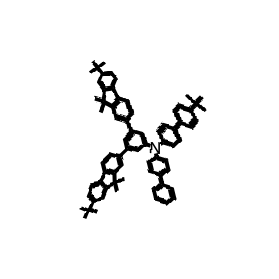 CC(C)(C)c1ccc(-c2ccc(N(c3ccc(-c4ccccc4)cc3)c3cc(-c4ccc5c(c4)C(C)(C)c4cc(C(C)(C)C)ccc4-5)cc(-c4ccc5c(c4)C(C)(C)c4cc(C(C)(C)C)ccc4-5)c3)cc2)cc1